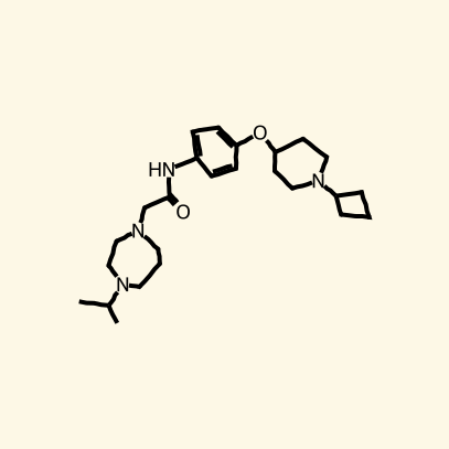 CC(C)N1CCCN(CC(=O)Nc2ccc(OC3CCN(C4CCC4)CC3)cc2)CC1